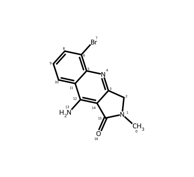 CN1Cc2nc3c(Br)cccc3c(N)c2C1=O